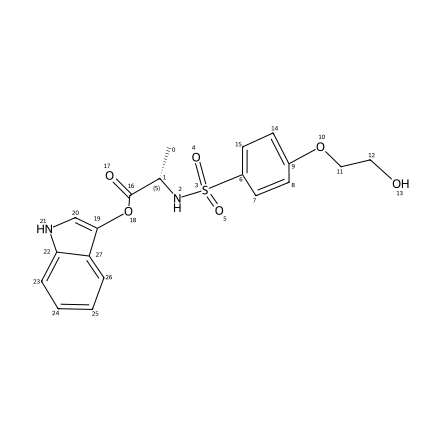 C[C@H](NS(=O)(=O)c1ccc(OCCO)cc1)C(=O)Oc1c[nH]c2ccccc12